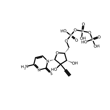 C#CC1(O)[C@@H](O)[C@@H](COP(=O)(O)OP(=O)(O)OP(=O)(O)O)O[C@H]1n1ccc(N)nc1=S